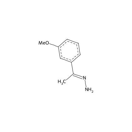 COc1cccc(C(C)=NN)c1